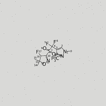 Cn1cc(C(F)(F)S(=O)(=O)C2=NOC(C)(C)C2F)c(C(F)(F)F)n1